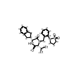 CCC(CC)[C@@H]1C(=O)N[C@H](C2Cc3ccccc3C2)C(=O)N1Cc1ccccc1N1CCCS1(=O)=O